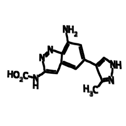 Cc1n[nH]cc1-c1cc(N)c2nnc(NC(=O)O)cc2c1